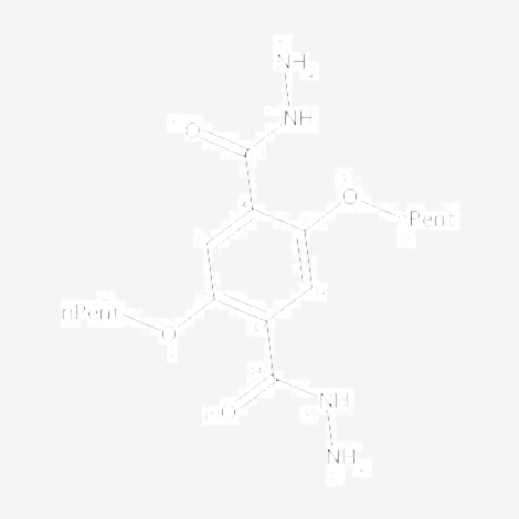 CCCCCOc1cc(C(=O)NN)c(OCCCCC)cc1C(=O)NN